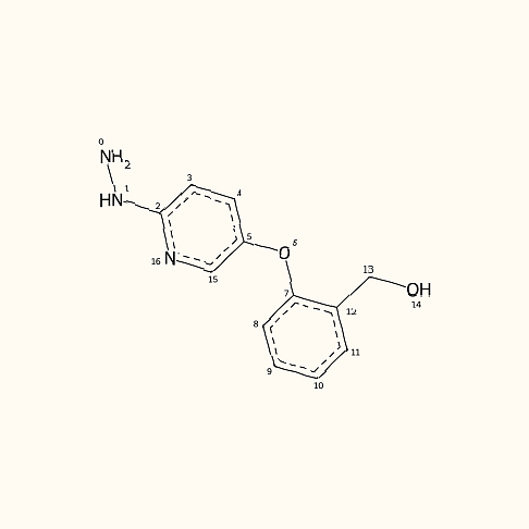 NNc1ccc(Oc2ccccc2CO)cn1